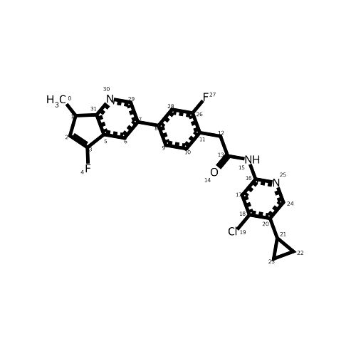 CC1C=C(F)c2cc(-c3ccc(CC(=O)Nc4cc(Cl)c(C5CC5)cn4)c(F)c3)cnc21